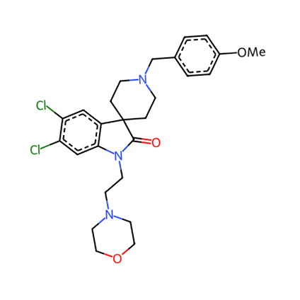 COc1ccc(CN2CCC3(CC2)C(=O)N(CCN2CCOCC2)c2cc(Cl)c(Cl)cc23)cc1